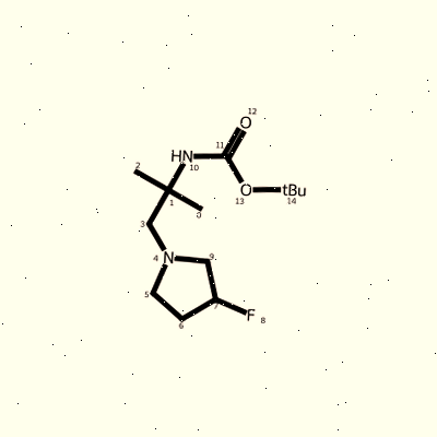 CC(C)(CN1CCC(F)C1)NC(=O)OC(C)(C)C